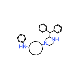 c1ccc(NC2CCCCCC(N3CCNC(C(c4ccccc4)c4ccccc4)C3)CCC2)cc1